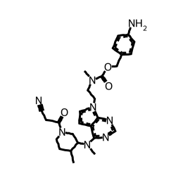 CC1CCN(C(=O)CC#N)CC1N(C)c1ncnc2c1ccn2CCN(C)C(=O)OCc1ccc(N)cc1